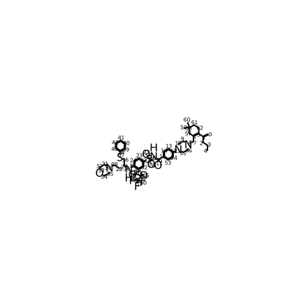 C=C(CCC)C1=C(CN2CCN(c3ccc(C(=O)NS(=O)(=O)c4ccc(N[C@H](CCN5CCOCC5)CSc5ccccc5)c(S(=O)(=O)C(F)(F)F)c4)cc3)CC2)CC(C)(C)CC1